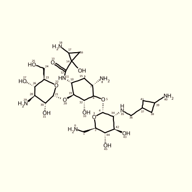 NC[C@H]1O[C@H](OC2[C@@H](N)C[C@@H](NC(=O)C3(O)CC3N)[C@H](O[C@H]3O[C@H](CO)[C@@H](O)[C@H](N)[C@H]3O)[C@H]2O)[C@H](NCC2CC(N)C2)[C@@H](O)[C@@H]1O